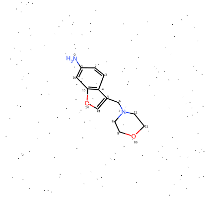 Nc1ccc2c(CN3CCOCC3)coc2c1